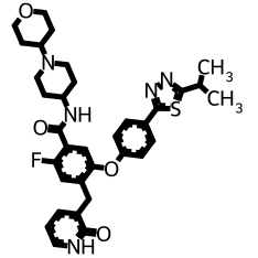 CC(C)c1nnc(-c2ccc(Oc3cc(C(=O)NC4CCN(C5CCOCC5)CC4)c(F)cc3Cc3ccc[nH]c3=O)cc2)s1